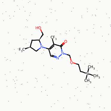 C[Si](C)(C)CCOCn1ncc(N2C[C@@H](C(F)(F)F)C[C@H]2CO)c(C(F)(F)F)c1=O